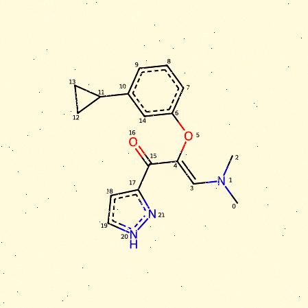 CN(C)C=C(Oc1cccc(C2CC2)c1)C(=O)c1cc[nH]n1